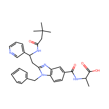 CC(NC(=O)c1ccc2c(c1)nc(CC(NC(=O)CC(C)(C)C)c1cccnc1)n2Cc1ccccc1)C(=O)O